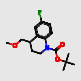 COCC1CCN(C(=O)OC(C)(C)C)c2ccc(F)cc21